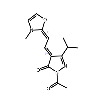 CC(=O)N1N=C(C(C)C)/C(=C\C=C2\OC=CN2C)C1=O